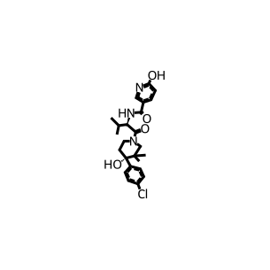 CC(C)[C@@H](NC(=O)c1ccc(O)nc1)C(=O)N1CC[C@](O)(c2ccc(Cl)cc2)C(C)(C)C1